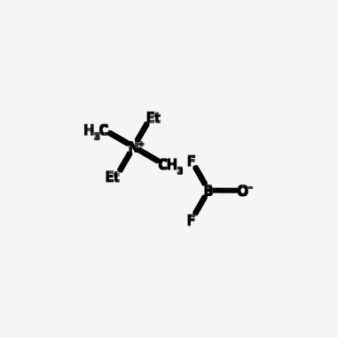 CC[N+](C)(C)CC.[O-]B(F)F